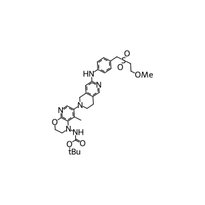 COCCS(=O)(=O)Cc1ccc(Nc2cc3c(cn2)CCN(c2cnc4c(c2C)N(NC(=O)OC(C)(C)C)CCO4)C3)cc1